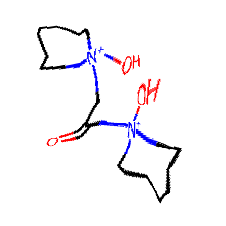 O=C([N+]1(O)CCC1)[N+]1(O)CCC1